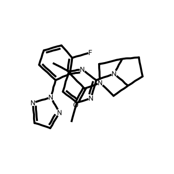 Cc1cc(C)nc(N2C3CCC2CN(C(=O)c2c(F)cccc2-n2nccn2)C3)n1